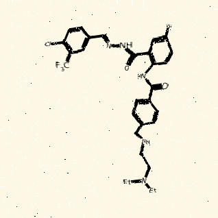 CCN(CC)CCNCc1ccc(C(=O)Nc2ccc(Br)cc2C(=O)NN=Cc2ccc(Cl)c(C(F)(F)F)c2)cc1